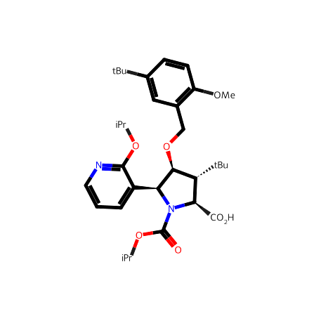 COc1ccc(C(C)(C)C)cc1CO[C@H]1[C@H](C(C)(C)C)[C@@H](C(=O)O)N(C(=O)OC(C)C)[C@H]1c1cccnc1OC(C)C